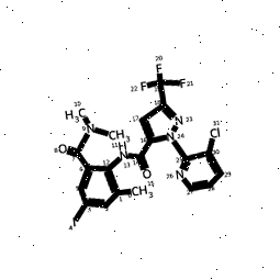 Cc1cc(I)cc(C(=O)N(C)C)c1NC(=O)c1cc(C(F)(F)F)nn1-c1ncccc1Cl